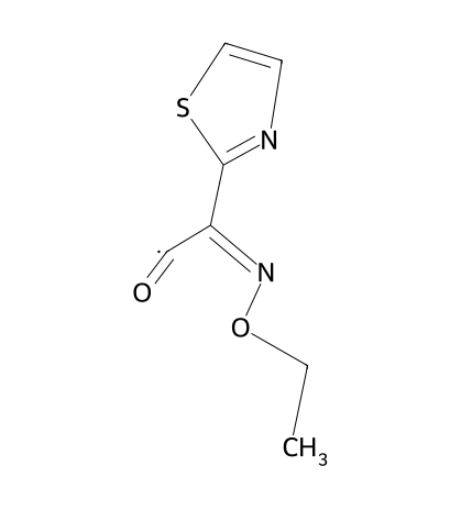 CCON=C([C]=O)c1nccs1